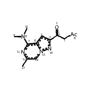 CC(=O)CC(=O)c1cc2c(N(C)C)nc(C)cn2n1